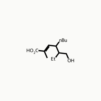 CCCCC(C=C(C)C(=O)O)C(CC)CO